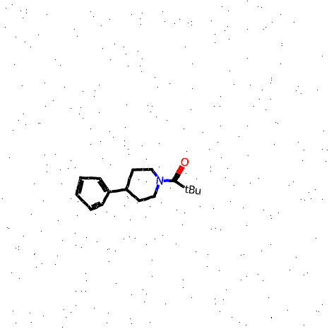 CC(C)(C)C(=O)N1CCC(c2ccccc2)CC1